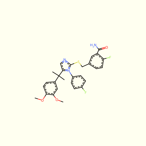 COc1ccc(C(C)(C)c2cnc(SCc3ccc(F)c(C(N)=O)c3)n2-c2ccc(F)cc2)cc1OC